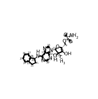 C[C@@]1(O)[C@H](O)[C@@H](COS(N)(=O)=O)O[C@H]1n1cnc2c(N[C@H]3CCc4ccccc43)ncnc21